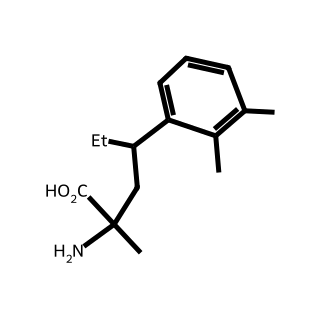 CCC(CC(C)(N)C(=O)O)c1cccc(C)c1C